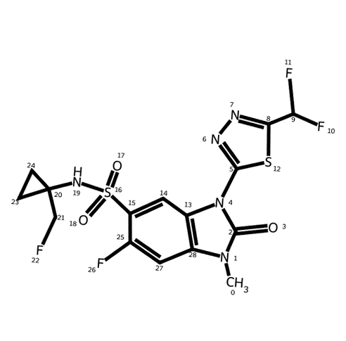 Cn1c(=O)n(-c2nnc(C(F)F)s2)c2cc(S(=O)(=O)NC3(CF)CC3)c(F)cc21